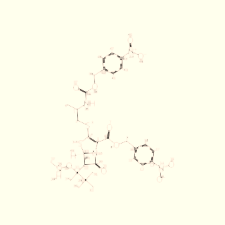 CC(CSC1=C(C(=O)OCc2ccc([N+](=O)[O-])cc2)N2C(=O)C(C(C)(O[SiH](C)C)C(C)(C)C)[C@H]2S1)NC(=O)OCc1ccc([N+](=O)[O-])cc1